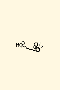 COc1ccccc1CCCC=CCCC(=O)O